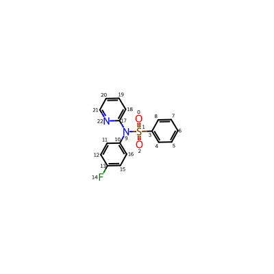 O=S(=O)(c1ccccc1)N(c1ccc(F)cc1)c1ccccn1